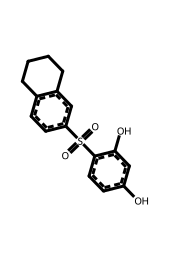 O=S(=O)(c1ccc2c(c1)CCCC2)c1ccc(O)cc1O